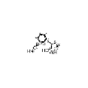 CC(C)CO.N=C=O.N=C=O.c1ccccc1